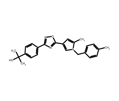 Cc1ccc(Cn2cc(-c3nc(-c4ccc(C(C)(C)O)cc4)no3)cc2C)cc1